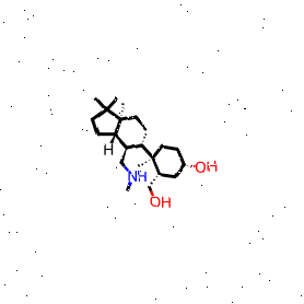 CNC[C@@H]1[C@@H]([C@@]2(C)CC[C@H](O)C[C@@H]2CO)CC[C@@]2(C)[C@H]1CCC2(C)C